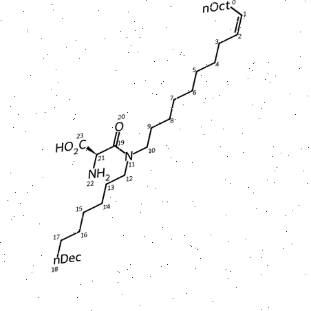 CCCCCCCC/C=C\CCCCCCCCN(CCCCCCCCCCCCCCCC)C(=O)[C@@H](N)C(=O)O